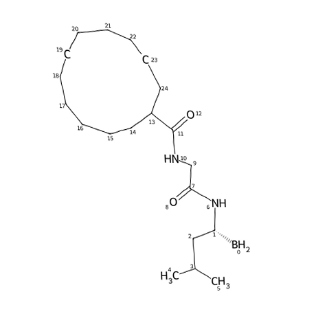 B[C@H](CC(C)C)NC(=O)CNC(=O)C1CCCCCCCCCCC1